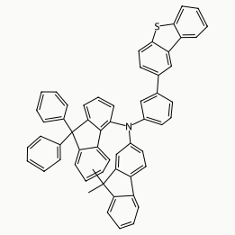 CC1(C)c2ccccc2-c2ccc(N(c3cccc(-c4ccc5sc6ccccc6c5c4)c3)c3cccc4c3-c3ccccc3C4(c3ccccc3)c3ccccc3)cc21